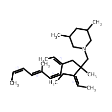 C\C=C/C=C(C)/C=C\C(=C/C)CC(C)(CN1CC(C)CC(C)C1)/C(=C\C)CC